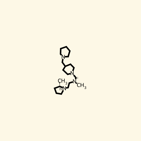 C[C@H]1CCCN1CCN(C)[C]N1CCC(CN2CCCCC2)CC1